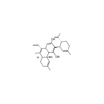 C=C(C)[C@@H]1CCC(C)=C[C@H]1C1=C(O)C2C(C=C1O)C(CCCCCC)=C(C)[C@@H]1CCC(C)=C[C@@H]21